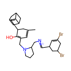 CC1=CC(CN2CCCC2C/N=C/C2C=C(Br)CC(Br)C2)=C(O)C(C2=C3C4CC(C2)CC3C4)C1